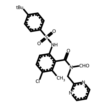 Cc1c(Cl)ccc(NS(=O)(=O)c2ccc(C(C)(C)C)cc2)c1C(=O)N(C=O)Cc1ncccn1